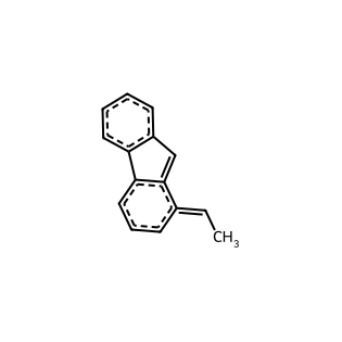 CC=c1cccc2c1=Cc1ccccc1-2